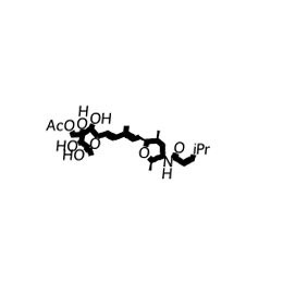 CC(=O)OCC1(O)C(O)C(/C=C/C(C)=C/C[C@@H]2O[C@H](C)[C@H](NC(=O)/C=C\C(C)C)C[C@@H]2C)OC(C)(O)C1O